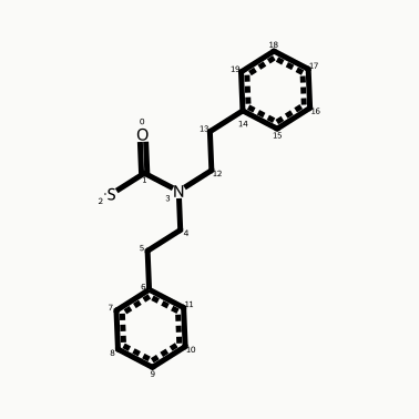 O=C([S])N(CCc1ccccc1)CCc1ccccc1